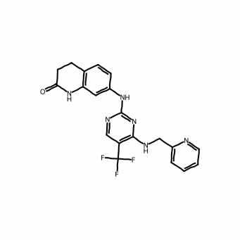 O=C1CCc2ccc(Nc3ncc(C(F)(F)F)c(NCc4ccccn4)n3)cc2N1